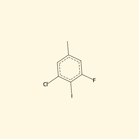 Cc1cc(F)c(I)c(Cl)c1